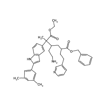 CCOC(=O)C(C)(c1ccc2[nH]c(-c3cc(C)cc(C)c3)cc2c1)C(CCN)CC(CCc1cccnc1)C(=O)OCc1ccccc1